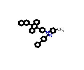 FC(F)(F)c1ccc2c(c1)nc(-c1ccc(-c3ccccc3)cc1)n2-c1ccc(-c2c3ccccc3c(-c3ccc4ccccc4c3)c3ccccc23)cc1